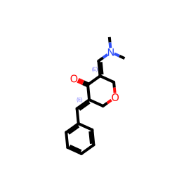 CN(C)/C=C1\COC/C(=C\c2ccccc2)C1=O